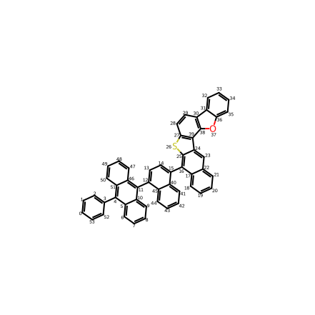 c1ccc(-c2c3ccccc3c(-c3ccc(-c4c5ccccc5cc5c4sc4ccc6c7ccccc7oc6c45)c4ccccc34)c3ccccc23)cc1